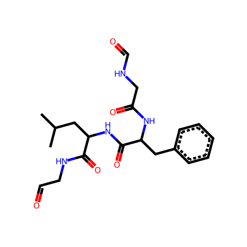 CC(C)CC(NC(=O)C(Cc1ccccc1)NC(=O)CNC=O)C(=O)NCC=O